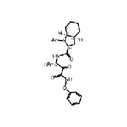 CCC[C@H](NC(=O)[C@@H]1C[C@@H]2CCCC[C@@H]2N1C(C)=O)C(=O)C(=O)NOc1ccccc1